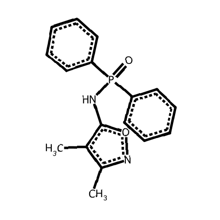 Cc1noc(NP(=O)(c2ccccc2)c2ccccc2)c1C